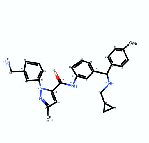 COc1ccc(C(NCC2CC2)c2cccc(NC(=O)c3cc(C(F)(F)F)nn3-c3cccc(CN)c3)c2)cc1